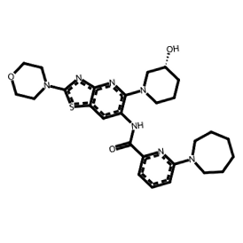 O=C(Nc1cc2sc(N3CCOCC3)nc2nc1N1CCC[C@@H](O)C1)c1cccc(N2CCCCCC2)n1